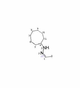 C/C=N\NC1CCCCCCC1